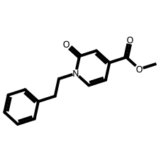 COC(=O)c1ccn(CCc2ccccc2)c(=O)c1